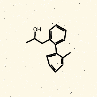 Cc1ccccc1-c1ccccc1CC(C)O